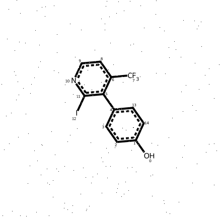 Oc1ccc(-c2c(C(F)(F)F)ccnc2I)cc1